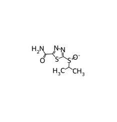 CC(C)[S+]([O-])c1nnc(C(N)=O)s1